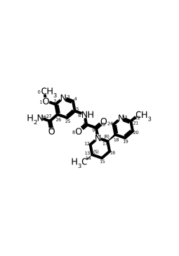 COc1ncc(NC(=O)C(=O)N2C[C@@H](C)CC[C@@H]2c2ccc(C)nc2)cc1C(N)=O